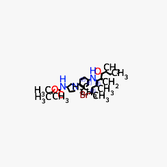 C=C(C(=O)C(C)CC)/C(NC(/C=C\C(=CC)N1CCC(NC(=O)OC(C)(C)C)C1)=C/C)=C(C)/C=C(\C)Br